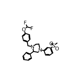 CS(=O)(=O)c1cccc(N2CCN(Cc3ccc(OC(F)F)cc3)C(c3ccccc3)C2)c1